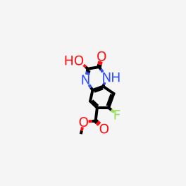 COC(=O)c1cc2nc(O)c(=O)[nH]c2cc1F